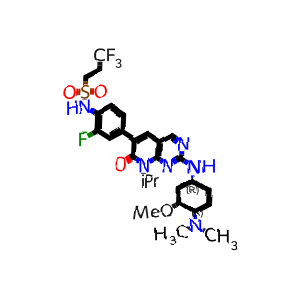 COC1C[C@H](Nc2ncc3cc(-c4ccc(NS(=O)(=O)CCC(F)(F)F)c(F)c4)c(=O)n(C(C)C)c3n2)CC[C@H]1N(C)C